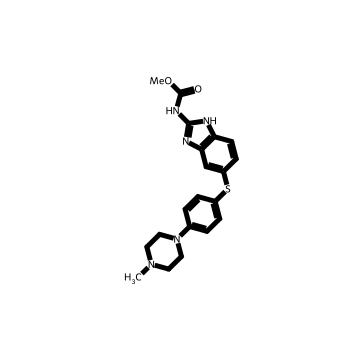 COC(=O)Nc1nc2cc(Sc3ccc(N4CCN(C)CC4)cc3)ccc2[nH]1